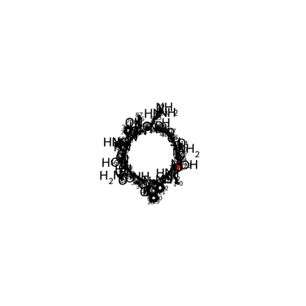 CCCCC[C@@H]1NC(=O)[C@H](Cc2ccc(-c3ccccc3)cc2)NC(=O)[C@H](CCS(C)(=O)=O)NC(=O)[C@H](C(C)C)NC(=O)[C@H](CCC(N)=O)NC(=O)[C@H](CC(=O)O)NC(=O)[C@H](Cc2c[nH]cn2)NC(=O)[C@H](Cc2ccc(O)cc2)NC(=O)[C@H](CCCCC)NC(=O)[C@H](CCCCNC(=N)N)NC(=O)[C@H](C)NC(=O)CSC[C@@H](C(N)=O)NC(=O)C(CC(=O)O)NC1=O